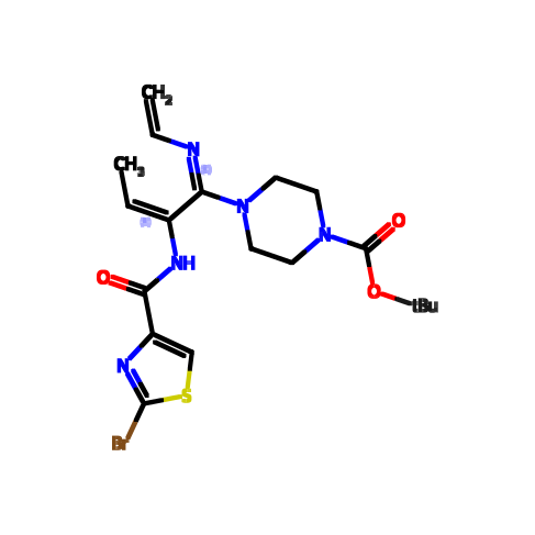 C=C/N=C(\C(=C/C)NC(=O)c1csc(Br)n1)N1CCN(C(=O)OC(C)(C)C)CC1